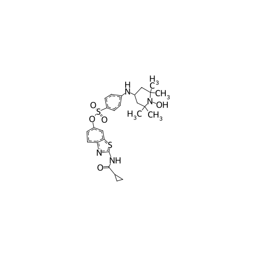 CC1(C)CC(Nc2ccc(S(=O)(=O)Oc3ccc4nc(NC(=O)C5CC5)sc4c3)cc2)CC(C)(C)N1O